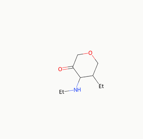 CCNC1C(=O)COCC1CC